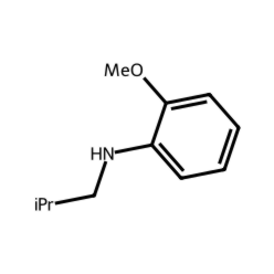 COc1ccccc1NCC(C)C